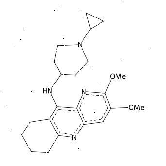 COc1cc2nc3c(c(NC4CCN(C5CC5)CC4)c2nc1OC)CCCC3